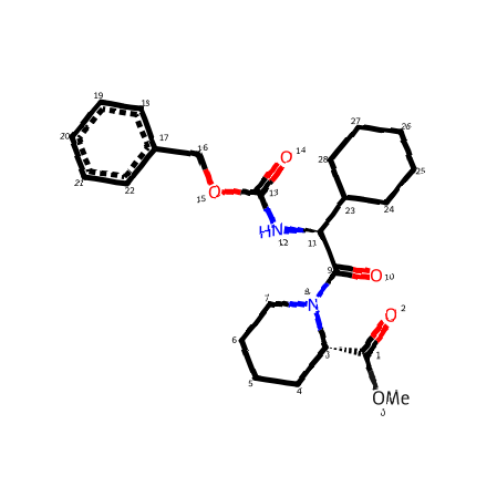 COC(=O)[C@@H]1CCCCN1C(=O)[C@@H](NC(=O)OCc1ccccc1)C1CCCCC1